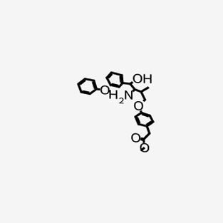 COC(=O)Cc1ccc(OCC(C)C(N)C(O)c2cccc(Oc3ccccc3)c2)cc1